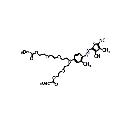 [C-]#[N+]c1sc(/N=N/c2ccc(N(CCOCCOCCOC(=O)CCCCCCCCCC)CCOCCOC(=O)CCCCCCCCCC)cc2C)c(C#N)c1C